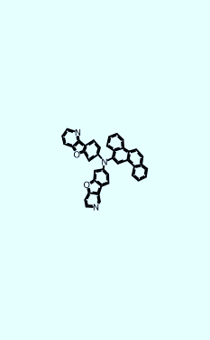 c1ccc2c(c1)ccc1c3ccccc3c(N(c3ccc4c(c3)oc3ccncc34)c3ccc4c(c3)oc3cccnc34)cc21